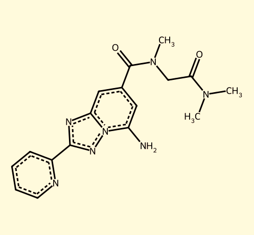 CN(C)C(=O)CN(C)C(=O)c1cc(N)n2nc(-c3ccccn3)nc2c1